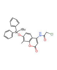 Cc1c(O[Si](c2ccccc2)(c2ccccc2)C(C)(C)C)ccc2c(NC(=O)CCl)cc(=O)oc12